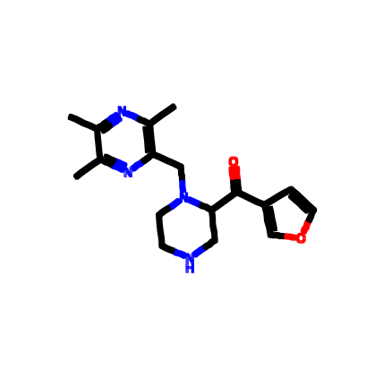 Cc1nc(C)c(CN2CCNCC2C(=O)c2ccoc2)nc1C